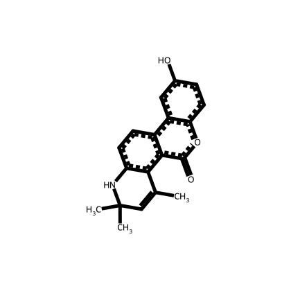 CC1=CC(C)(C)Nc2ccc3c(c21)c(=O)oc1ccc(O)cc13